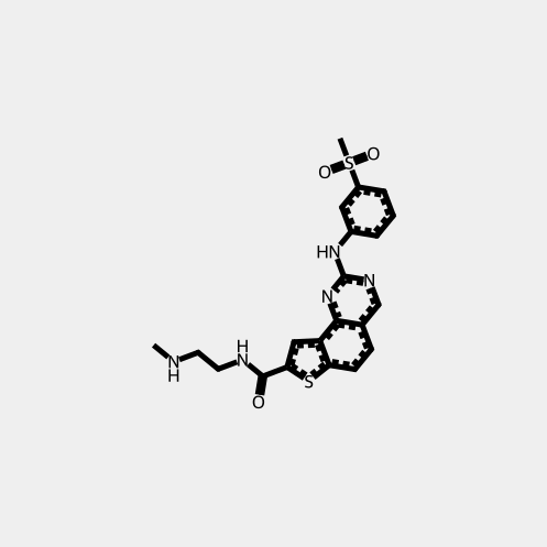 CNCCNC(=O)c1cc2c(ccc3cnc(Nc4cccc(S(C)(=O)=O)c4)nc32)s1